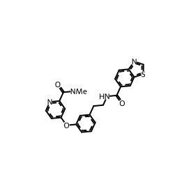 CNC(=O)c1cc(Oc2cccc(CCNC(=O)c3ccc4ncsc4c3)c2)ccn1